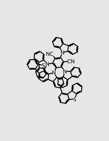 N#Cc1c(-n2c3ccccc3c3ccccc32)c(C#N)c(-n2c3ccccc3c3ccccc32)c(-n2c3ccc(-c4cccc5sc6ccccc6c45)cc3c3ccc4c5ccccc5sc4c32)c1-n1c2ccccc2c2ccccc21